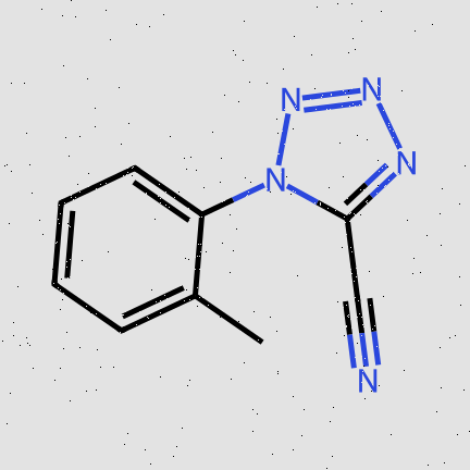 Cc1ccccc1-n1nnnc1C#N